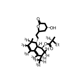 [2H]C1=C([2H])[C@]([2H])(C)[C@H](CCC2C[C@@H](O)CC(=O)O2)[C@@H]2C1=C([2H])[C@]([2H])(C([2H])([2H])[2H])C([2H])([2H])[C@@H]2OC(=O)[C@@]([2H])(C)CC